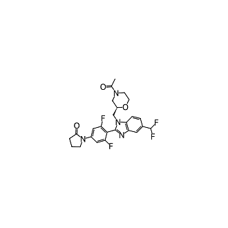 CC(=O)N1CCO[C@@H](Cn2c(-c3c(F)cc(N4CCCC4=O)cc3F)nc3cc(C(F)F)ccc32)C1